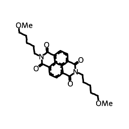 COCCCCCN1C(=O)c2ccc3c4c(ccc(c24)C1=O)C(=O)N(CCCCCOC)C3=O